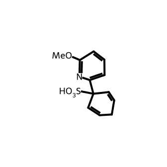 COc1cccc(C2(S(=O)(=O)O)C=CCC=C2)n1